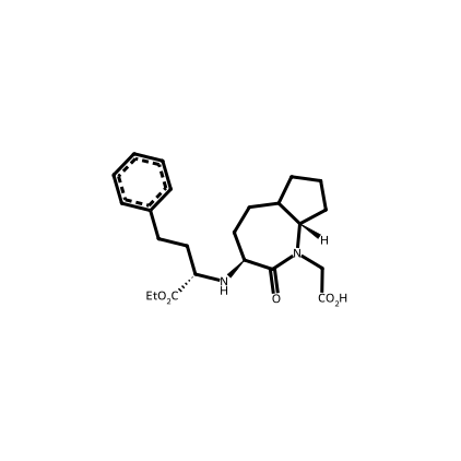 CCOC(=O)[C@H](CCc1ccccc1)N[C@H]1CCC2CCC[C@@H]2N(CC(=O)O)C1=O